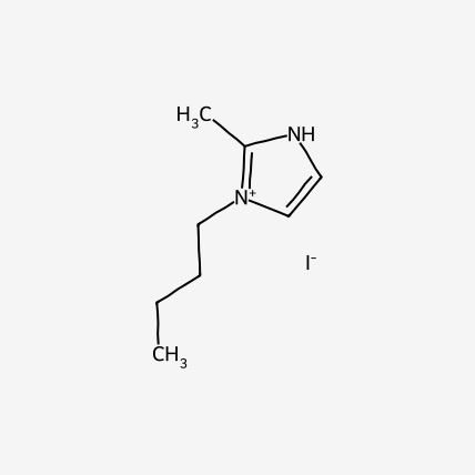 CCCC[n+]1cc[nH]c1C.[I-]